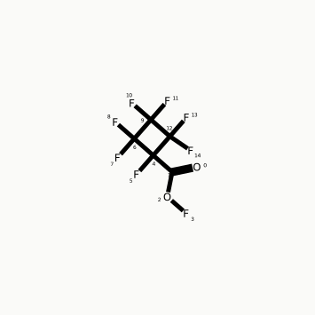 O=C(OF)C1(F)C(F)(F)C(F)(F)C1(F)F